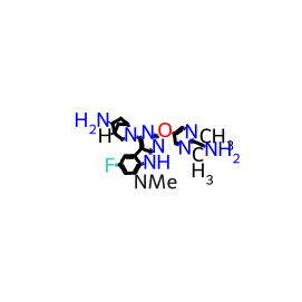 CNc1cc(F)cc2c1[nH]c1nc(Oc3cnc(C(C)(C)N)nc3)nc(N3C[C@H]4CC3C[C@H]4N)c12